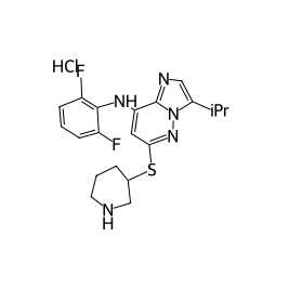 CC(C)c1cnc2c(Nc3c(F)cccc3F)cc(SC3CCCNC3)nn12.Cl